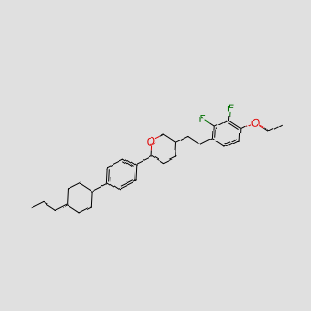 CCCC1CCC(c2ccc(C3CCC(CCc4ccc(OCC)c(F)c4F)CO3)cc2)CC1